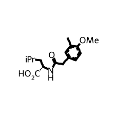 COc1ccc(CC(=O)N[C@@H](CC(C)C)C(=O)O)cc1C